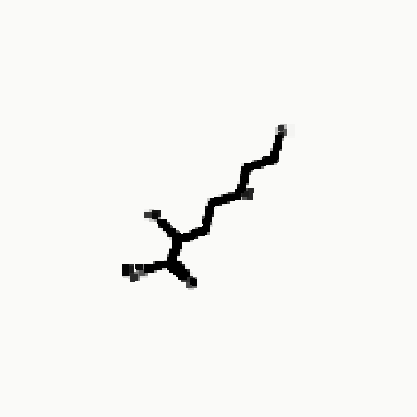 NC(=O)C(S)CCNCCS